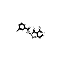 Cc1cccc(C(=O)NN(C(=O)c2cccnc2Cl)C(C)(C)C)c1